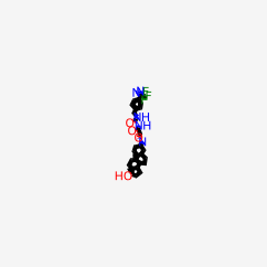 CC12CCC3C(CCC4C/C(=N/OCC(=O)NC(=O)NCc5ccc(C6(C(F)(F)F)N=N6)cc5)CCC43C)C1CCC2O